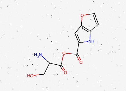 NC(CO)C(=O)OC(=O)c1cc2occc2[nH]1